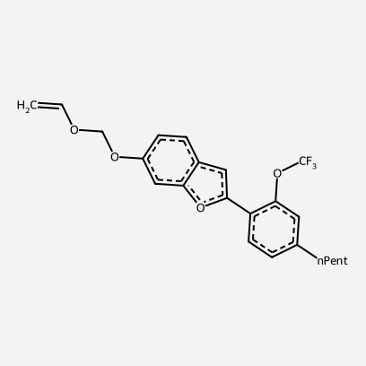 C=COCOc1ccc2cc(-c3ccc(CCCCC)cc3OC(F)(F)F)oc2c1